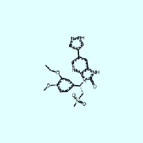 CCOc1cc([C@@H](CS(C)(=O)=O)n2c(=O)[nH]c3cc(-c4cn[nH]c4)cnc32)ccc1OC